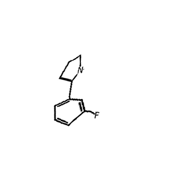 Fc1cccc(C2CCC[N]2)c1